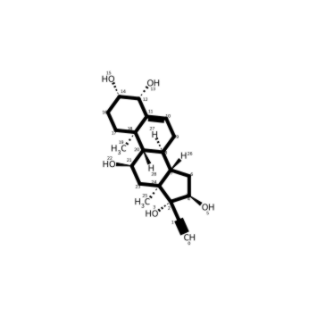 C#C[C@]1(O)[C@H](O)C[C@H]2[C@@H]3CC=C4[C@@H](O)[C@@H](O)CC[C@]4(C)[C@H]3[C@H](O)C[C@@]21C